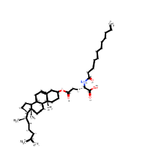 CCCCCCCCCCCC(=O)N[C@@H](CCC(=O)OC1CC[C@@]2(C)C(=CCC3C2CC[C@@]2(C)C3CC[C@@H]2[C@H](C)CCCC(C)C)C1)C(=O)O